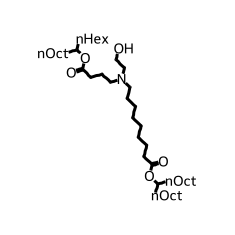 CCCCCCCCC(CCCCCCCC)OC(=O)CCCCCCCCN(CCO)CCCC(=O)OC(CCCCCC)CCCCCCCC